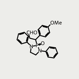 COc1ccc(C(CC=O)P2(=O)N(c3ccccc3)CCN2c2ccccc2)cc1